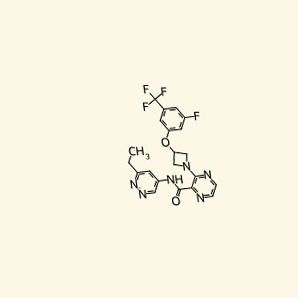 CCc1cc(NC(=O)c2nccnc2N2CC(Oc3cc(F)cc(C(F)(F)F)c3)C2)cnn1